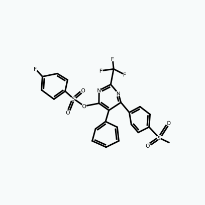 CS(=O)(=O)c1ccc(-c2nc(C(F)(F)F)nc(OS(=O)(=O)c3ccc(F)cc3)c2-c2ccccc2)cc1